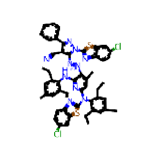 CCc1cc(C)cc(CC)c1Nc1nc(N(c2nc3ccc(Cl)cc3s2)c2c(CC)cc(C)cc2CC)cc(C)c1/N=N/c1c(C#N)c(-c2ccccc2)nn1-c1nc2ccc(Cl)cc2s1